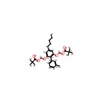 CCCCCc1cc(OCOC(=O)C(C)(C)C)c(-c2cccc(C)c2)c(OCOC(=O)C(C)(C)C)c1